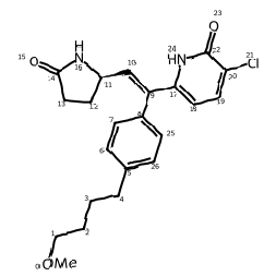 COCCCCc1ccc(/C(=C\[C@H]2CCC(=O)N2)c2ccc(Cl)c(=O)[nH]2)cc1